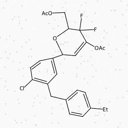 CCc1ccc(Cc2cc(C3C=C(OC(C)=O)C(F)(F)C(COC(C)=O)O3)ccc2Cl)cc1